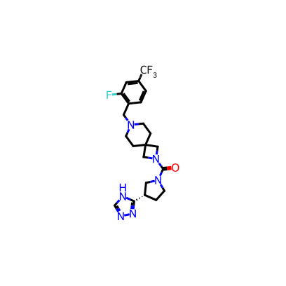 O=C(N1CC[C@H](c2nnc[nH]2)C1)N1CC2(CCN(Cc3ccc(C(F)(F)F)cc3F)CC2)C1